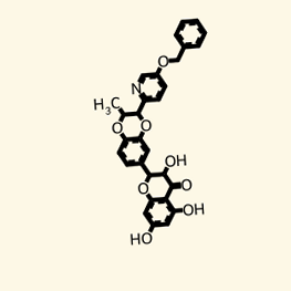 CC1Oc2ccc(C3Oc4cc(O)cc(O)c4C(=O)C3O)cc2OC1c1ccc(OCc2ccccc2)cn1